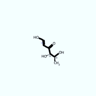 C[C@H](O)[C@H](O)C(=O)/C=C/O